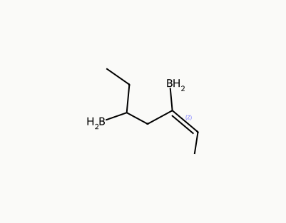 B/C(=C/C)CC(B)CC